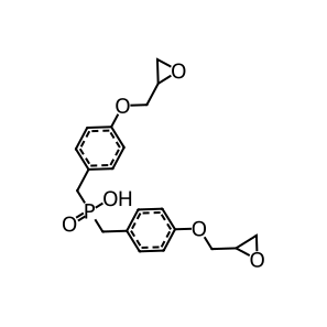 O=P(O)(Cc1ccc(OCC2CO2)cc1)Cc1ccc(OCC2CO2)cc1